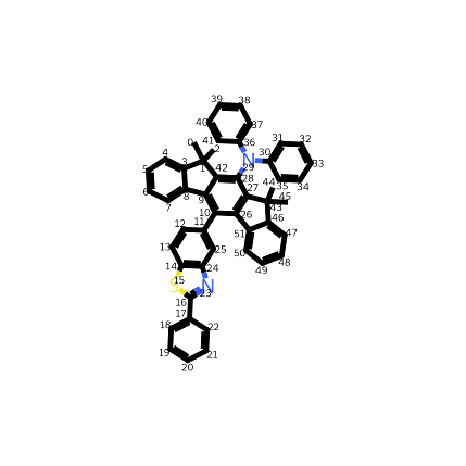 CC1(C)c2ccccc2-c2c(-c3ccc4sc(-c5ccccc5)nc4c3)c3c(c(N(c4ccccc4)c4ccccc4)c21)C(C)(C)c1ccccc1-3